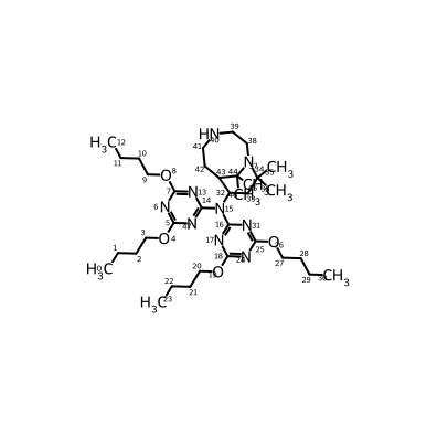 CCCCOc1nc(OCCCC)nc(N(c2nc(OCCCC)nc(OCCCC)n2)C2CC(C)(C)N3CCNCCC2C3(C)C)n1